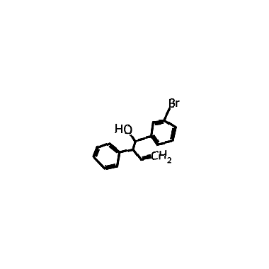 C=CC(c1ccccc1)C(O)c1cccc(Br)c1